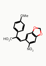 COc1ccc(C(=Cc2cc3c(cc2[N+](=O)[O-])OCO3)C(=O)O)cc1